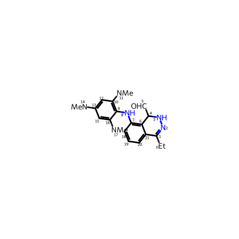 CCC1=NNC(C=O)c2c(Nc3c(NC)cc(NC)cc3NC)cccc21